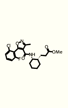 COC(=O)CC[C@@H]1CCCC[C@@H]1NC(=O)c1c(C)noc1-c1c(F)cccc1Cl